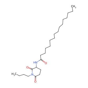 CCCCCCCCCCCCCCCC(=O)NC1CCC(=O)N(CCCC)C1=O